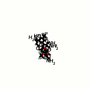 Cc1cc(C(CC(N)=O)C2(C(CC(N)=O)c3cc(C)c(O)c(C(C)(C)C)c3)OC(CCCN)OCC23COC(CCCN)OC3)cc(C(C)(C)C)c1O